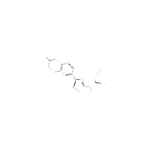 CN(C(=O)OC(C)(C)C)c1nc(-c2ccc3c(c2)CCC(=O)N3)c[nH]1